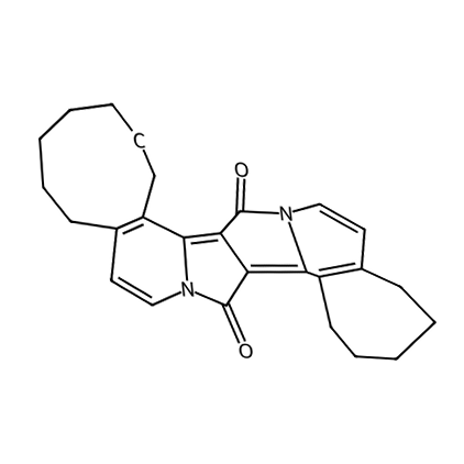 O=C1C2=C3C4=C(C=CN3C(=O)C2=C2C3=C(C=CN12)CCCCCCC3)CCCCC4